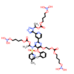 COc1ccccc1Oc1c(OCCOC(=O)OCCCCON(O)O)nc(-c2ccnc(-c3nnnn3C(C)OC(=O)OCCCCON(O)O)c2)nc1N(C(C)OC(=O)OCCCCON(O)O)S(=O)(=O)c1ccc(C)cn1